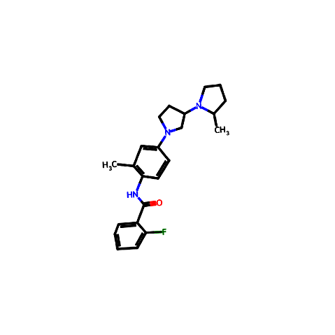 Cc1cc(N2CCC(N3CCCC3C)C2)ccc1NC(=O)c1ccccc1F